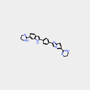 c1cc2cc(-c3ccc(-c4cn5cc(C6=NCCCN6)ccc5n4)cc3)[nH]c2cc1C1=NCCCN1